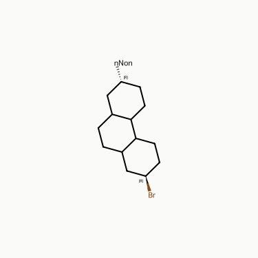 CCCCCCCCC[C@@H]1CCC2C(CCC3C[C@H](Br)CCC32)C1